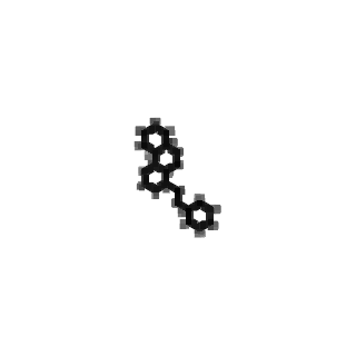 C(=C\c1cccc2c1ccc1ccccc12)/c1ccccc1